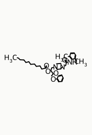 CCCCCCCCCCCC(=O)OC(CN1CCN(CC(=O)Nc2c(C)cccc2C)CC1)C1COc2ccccc2O1